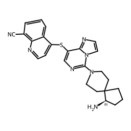 N#Cc1cccc2c(Sc3cnc(N4CCC5(CCC[C@H]5N)CC4)n4ccnc34)ccnc12